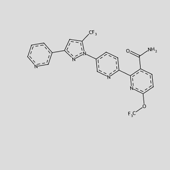 NC(=O)c1ccc(OC(F)(F)F)nc1-c1ccc(-n2nc(-c3cccnc3)cc2C(F)(F)F)cn1